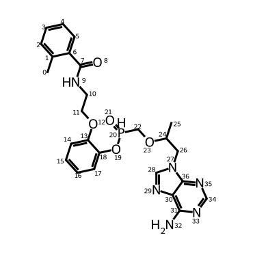 Cc1ccccc1C(=O)NCCOc1ccccc1O[PH](=O)COC(C)Cn1cnc2c(N)ncnc21